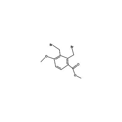 COC(=O)c1ccc(OC)c(CBr)c1CBr